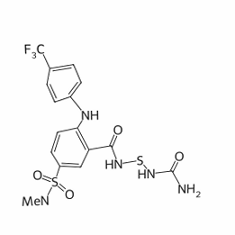 CNS(=O)(=O)c1ccc(Nc2ccc(C(F)(F)F)cc2)c(C(=O)NSNC(N)=O)c1